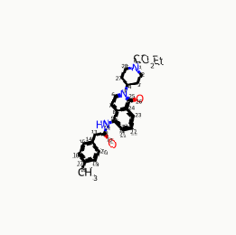 CCOC(=O)N1CCC(n2ccc3c(NC(=O)Cc4ccc(C)cc4)cccc3c2=O)CC1